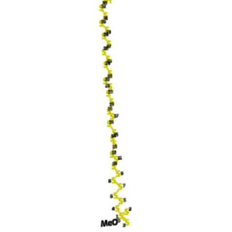 COS(=S)(=S)SSSSSSSSSSSSSSSSSSSSSSSSSSSSSS